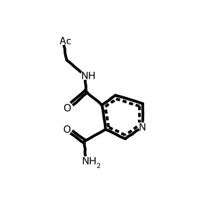 CC(=O)CNC(=O)c1ccncc1C(N)=O